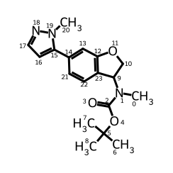 CN(C(=O)OC(C)(C)C)C1COc2cc(-c3ccnn3C)ccc21